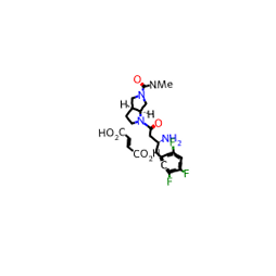 CNC(=O)N1C[C@@H]2CCN(C(=O)C[C@H](N)Cc3cc(F)c(F)cc3F)[C@@H]2C1.O=C(O)/C=C/C(=O)O